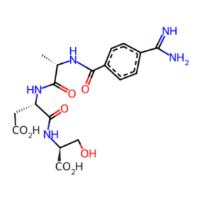 C[C@H](NC(=O)c1ccc(C(=N)N)cc1)C(=O)N[C@@H](CC(=O)O)C(=O)N[C@@H](CO)C(=O)O